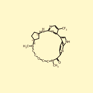 CN1CCOCCN(C)[C@H]2CC[C@@H](C2)Nc2ncc(C(F)(F)F)c(n2)-c2c[nH]c3nc(ccc23)C1=O